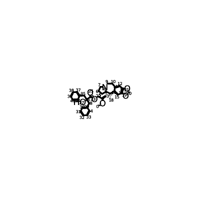 CO/C(=C/[C@]12CCCN1CCc1cc3c(cc1[C@@H]2C)OCO3)COC(=O)C(O)(Cc1ccccc1)Cc1ccccc1